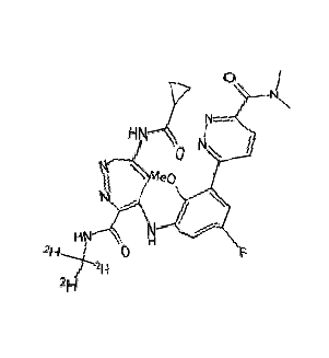 [2H]C([2H])([2H])NC(=O)c1nnc(NC(=O)C2CC2)cc1Nc1cc(F)cc(-c2ccc(C(=O)N(C)C)nn2)c1OC